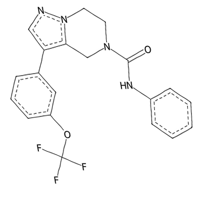 O=C(Nc1ccccc1)N1CCn2ncc(-c3cccc(OC(F)(F)F)c3)c2C1